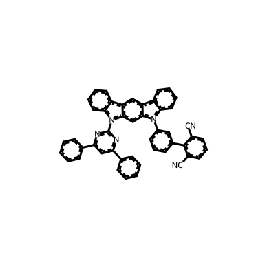 N#Cc1cccc(C#N)c1-c1cccc(-n2c3ccccc3c3cc4c5ccccc5n(-c5nc(-c6ccccc6)cc(-c6ccccc6)n5)c4cc32)c1